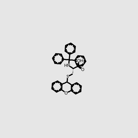 O=C(O)[C@H](CSC1c2ccccc2Oc2ccccc21)NC(c1ccccc1)(c1ccccc1)c1ccccc1